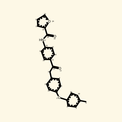 Cc1ccc(Oc2ccc(CC(=O)c3ccc(NC(=O)c4ccco4)cc3)cc2)cc1